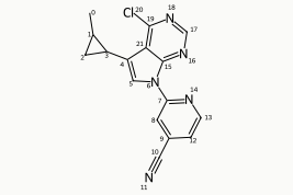 CC1CC1c1cn(-c2cc(C#N)ccn2)c2ncnc(Cl)c12